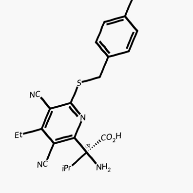 CCc1c(C#N)c(SCc2ccc(CNC(C)=O)cc2)nc([C@](N)(C(=O)O)C(C)C)c1C#N